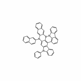 c1ccc(-n2c3ccccc3c3c4c5c(cc32)N(c2ccc3ccccc3c2)c2cc3ccccc3cc2B5n2c3ccccc3c3cccc-4c32)cc1